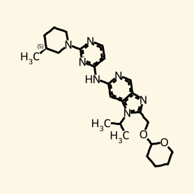 CC(C)n1c(COC2CCCCO2)nc2cnc(Nc3ccnc(N4CCC[C@H](C)C4)n3)cc21